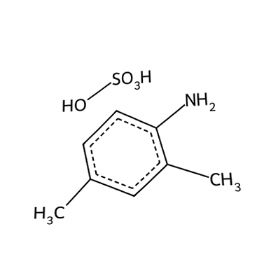 Cc1ccc(N)c(C)c1.O=S(=O)(O)O